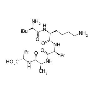 CC[C@H](C)[C@H](N)C(=O)N[C@@H](CCCCN)C(=O)N[C@H](C(=O)N[C@@H](C)C(=O)N[C@H](C(=O)O)C(C)C)C(C)C